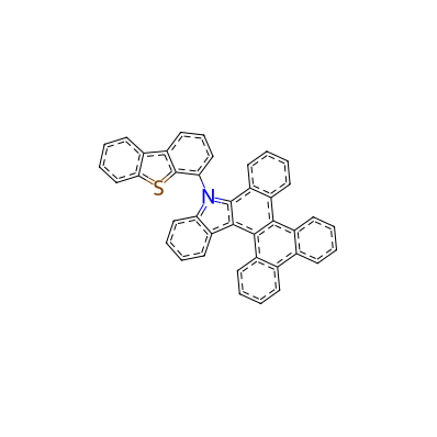 c1ccc2c(c1)sc1c(-n3c4ccccc4c4c5c6ccccc6c6ccccc6c5c5ccccc5c43)cccc12